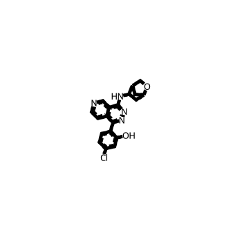 Oc1cc(Cl)ccc1-c1nnc(NC2CC3CC2CO3)c2cnccc12